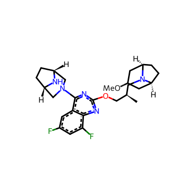 COC1C[C@H]2CC[C@@H](C1)N2C[C@@H](C)COc1nc(N2C[C@H]3CC[C@@H](C2)N3)c2cc(F)cc(F)c2n1